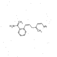 C=C(/C=C\CCC)C/C=C\c1ccccc1C(=C)N